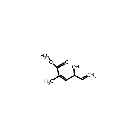 C=CC(O)C=C(C)C(=O)OC